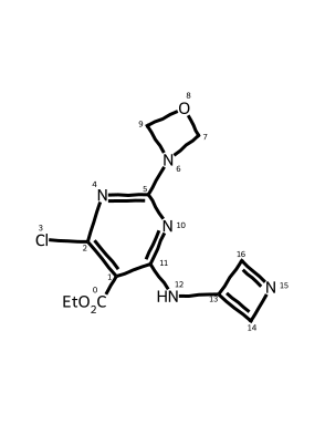 CCOC(=O)c1c(Cl)nc(N2COC2)nc1NC1=CN=C1